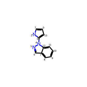 C1=C[N]C(n2ncc3ccccc32)=C1